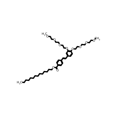 CCCCCCCCCCCCCCOC(=O)c1ccc(C=Cc2ccc(OCCOCCOCCOC)c(OCCOCCOCCOC)c2)cc1